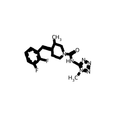 CC1CN(C(=O)Nc2nnnn2C)CC/C1=C\c1cccc(F)c1F